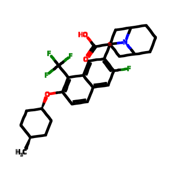 C[C@H]1CC[C@@H](Oc2ccc3cc(F)c(CN4C5CCCC4CC(C(=O)O)C5)cc3c2C(F)(F)F)CC1